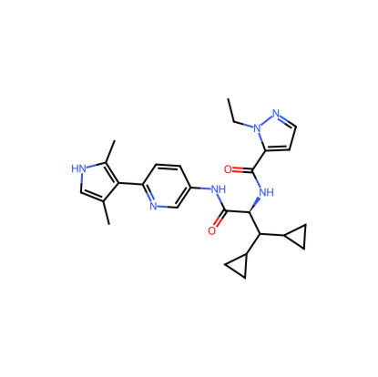 CCn1nccc1C(=O)N[C@H](C(=O)Nc1ccc(-c2c(C)c[nH]c2C)nc1)C(C1CC1)C1CC1